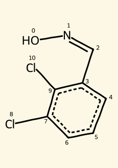 O/N=C\c1cccc(Cl)c1Cl